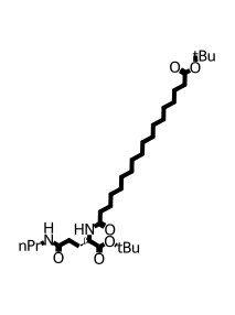 CCCNC(=O)CC[C@H](NC(=O)CCCCCCCCCCCCCCCCC(=O)OC(C)(C)C)C(=O)OC(C)(C)C